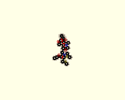 c1ccc(N(c2ccc(-c3cccc4oc5ccccc5c34)cc2)c2cccc3oc4c(-c5ccc(-c6cccc7c6oc6cc8ccccc8cc67)c(N(c6ccc(-c7cccc8c7sc7ccccc78)cc6)c6cccc7c6sc6ccccc67)c5)cccc4c23)c(-c2cccc3c2oc2cc4ccccc4cc23)c1